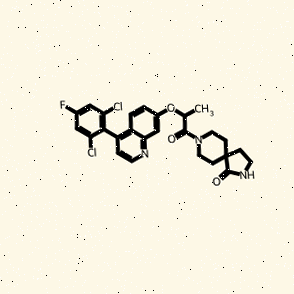 CC(Oc1ccc2c(-c3c(Cl)cc(F)cc3Cl)ccnc2c1)C(=O)N1CCC2(CCNC2=O)CC1